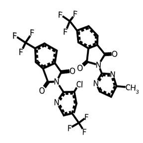 Cc1ccnc(N2C(=O)c3ccc(C(F)(F)F)cc3C2=O)n1.O=C1c2ccc(C(F)(F)F)cc2C(=O)N1c1ncc(C(F)(F)F)cc1Cl